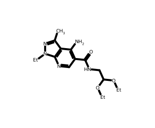 CCOC(CNC(=O)c1cnc2c(c(C)nn2CC)c1N)OCC